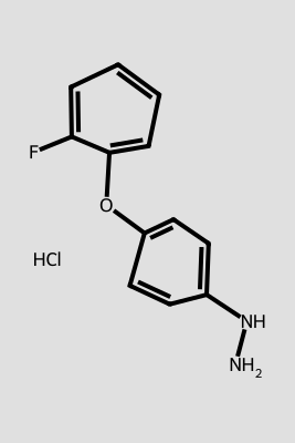 Cl.NNc1ccc(Oc2ccccc2F)cc1